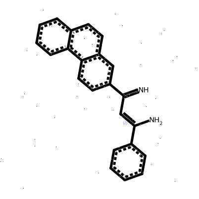 N=C(/C=C(\N)c1ccccc1)c1ccc2c(ccc3ccccc32)c1